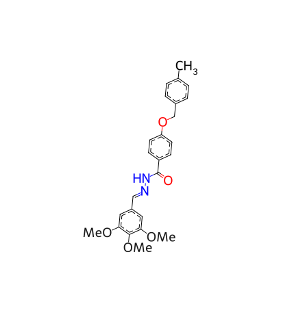 COc1cc(/C=N/NC(=O)c2ccc(OCc3ccc(C)cc3)cc2)cc(OC)c1OC